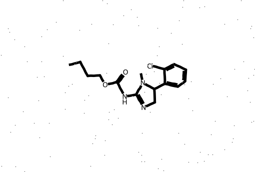 CCCCOC(=O)NC1=NCC(c2ccccc2Cl)N1C